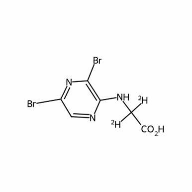 [2H]C([2H])(Nc1ncc(Br)nc1Br)C(=O)O